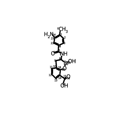 Cc1ccc(C(=O)NC2Cc3cccc(C(=O)O)c3OB2O)cc1N